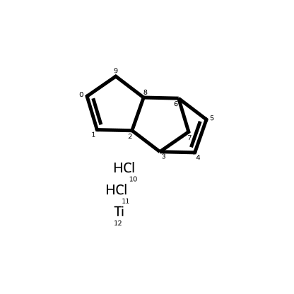 C1=CC2C3C=CC(C3)C2C1.Cl.Cl.[Ti]